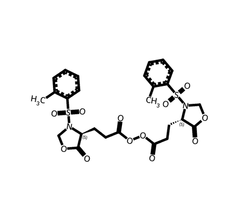 Cc1ccccc1S(=O)(=O)N1COC(=O)[C@@H]1CCC(=O)OOC(=O)CC[C@H]1C(=O)OCN1S(=O)(=O)c1ccccc1C